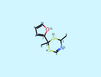 CC1N=CSC(C)(c2ccco2)S1